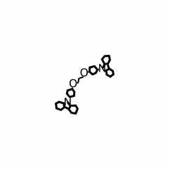 c1ccc2c(c1)c1ccccc1n2-c1ccc(OCCCOc2ccc(-n3c4ccccc4c4ccccc43)cc2)cc1